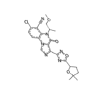 COCC(C)n1c(=O)c2c(-c3noc(C4CCC(C)(C)O4)n3)ncn2c2ccc(Cl)c(C#N)c21